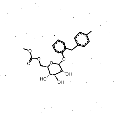 COC(=O)OC[C@H]1O[C@@H](Oc2ccccc2Cc2ccc(C)cc2)[C@H](O)[C@@H](O)[C@@H]1O